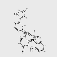 Cc1n[nH]c(-c2cccc(Nc3ncc(Cl)c(Nc4ccccc4NS(C)(=O)=O)n3)c2)n1